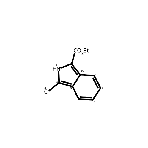 CCOC(=O)c1[nH]c(Cl)c2ccccc12